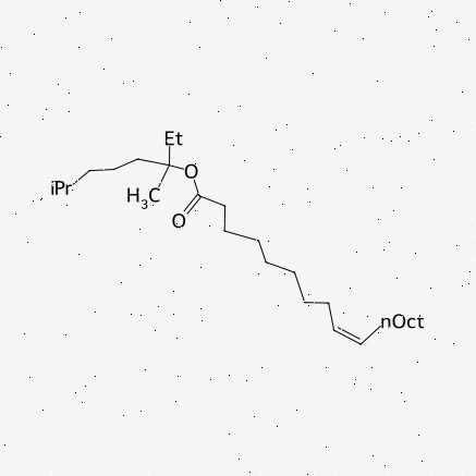 CCCCCCCC/C=C\CCCCCCCC(=O)OC(C)(CC)CCCC(C)C